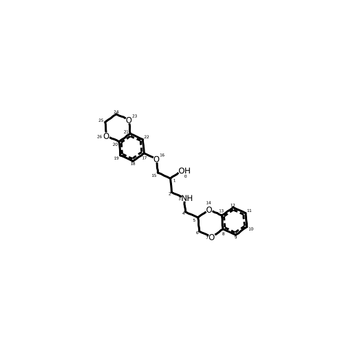 OC(CNCC1COc2ccccc2O1)COc1ccc2c(c1)OCCO2